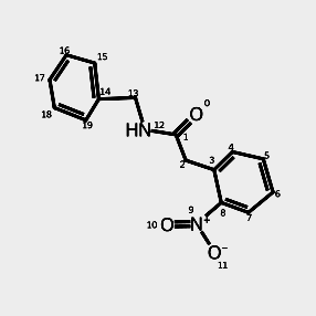 O=C(Cc1ccccc1[N+](=O)[O-])NCc1ccccc1